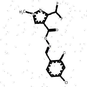 Cn1cc(C(=O)O/N=C/c2ccc(Cl)cc2Cl)c(C(F)F)n1